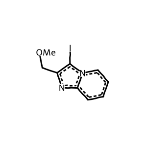 COCc1nc2ccccn2c1I